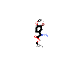 CCOC(=O)C(N)c1ccc(OC)c(Br)c1